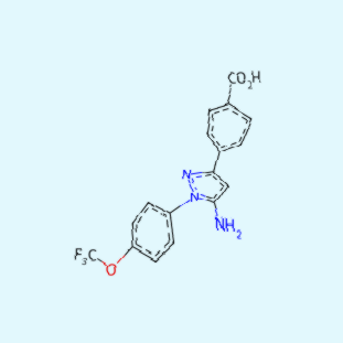 Nc1cc(-c2ccc(C(=O)O)cc2)nn1-c1ccc(OC(F)(F)F)cc1